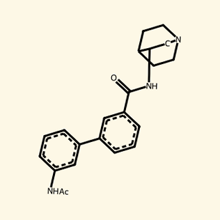 CC(=O)Nc1cccc(-c2cccc(C(=O)NC3CN4CCC3CC4)c2)c1